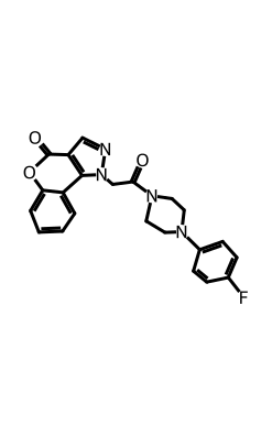 O=C(Cn1ncc2c(=O)oc3ccccc3c21)N1CCN(c2ccc(F)cc2)CC1